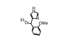 CCOC(c1c[nH]cn1)c1ccccc1OC